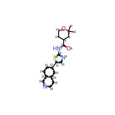 CC1(C)CC(C(=O)Nc2ncc(-c3ccc4cnccc4c3)s2)CCO1